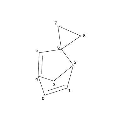 C1=CC2CC1=CC21CC1